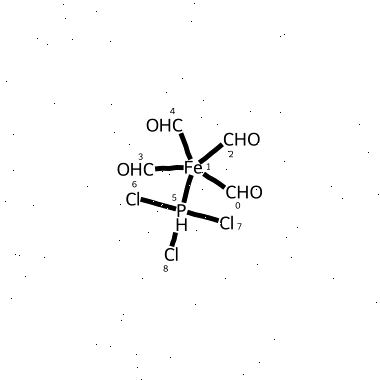 O=[CH][Fe]([CH]=O)([CH]=O)([CH]=O)[PH](Cl)(Cl)Cl